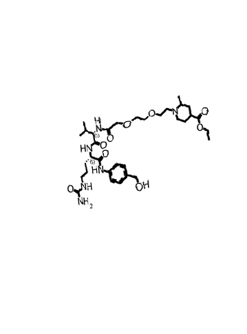 CCOC(=O)C1CCN(CCOCCOCC(=O)N[C@H](C(=O)N[C@@H](CCCNC(N)=O)C(=O)Nc2ccc(CO)cc2)C(C)C)C(C)C1